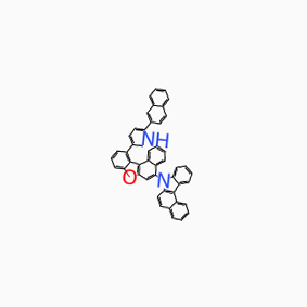 C1=C(c2ccc3ccccc3c2)NCC(c2cccc3oc4cc(-n5c6ccccc6c6c7ccccc7ccc65)c5ccccc5c4c23)=C1